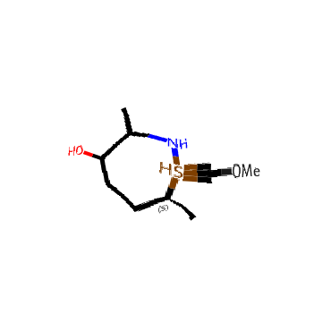 COC#[SH]1NC(C)C(O)CC[C@@H]1C